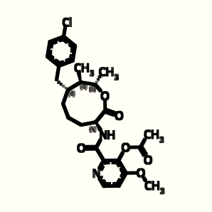 COc1ccnc(C(=O)N[C@H]2CCC[C@H](Cc3ccc(Cl)cc3)[C@@H](C)[C@H](C)OC2=O)c1OC(C)=O